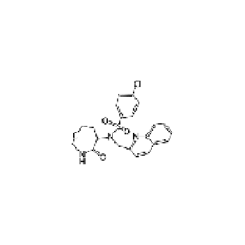 O=C1NCCCCC1N(Cc1ccc2ccccc2n1)S(=O)(=O)c1ccc(Cl)cc1